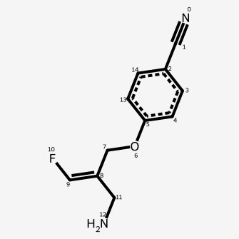 N#Cc1ccc(OC/C(=C\F)CN)cc1